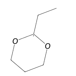 CC[C]1OCCCO1